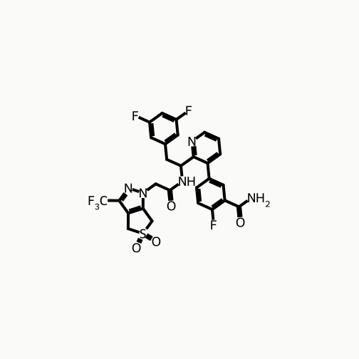 NC(=O)c1cc(-c2cccnc2C(Cc2cc(F)cc(F)c2)NC(=O)Cn2nc(C(F)(F)F)c3c2CS(=O)(=O)C3)ccc1F